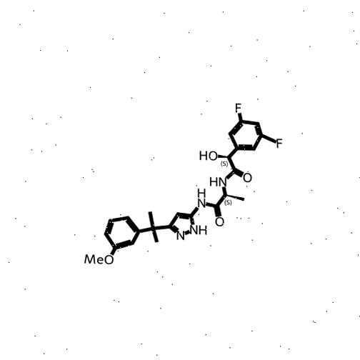 COc1cccc(C(C)(C)c2cc(NC(=O)[C@H](C)NC(=O)[C@@H](O)c3cc(F)cc(F)c3)[nH]n2)c1